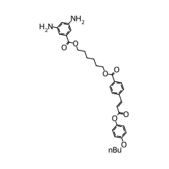 CCCCOc1ccc(OC(=O)C=Cc2ccc(C(=O)OCCCCCCOC(=O)c3cc(N)cc(N)c3)cc2)cc1